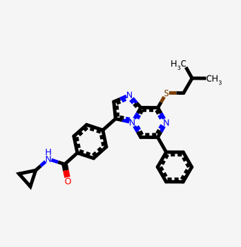 CC(C)CSc1nc(-c2ccccc2)cn2c(-c3ccc(C(=O)NC4CC4)cc3)cnc12